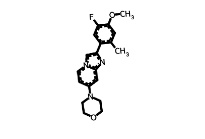 COc1cc(C)c(-c2cn3ccc(N4CCOCC4)cc3n2)cc1F